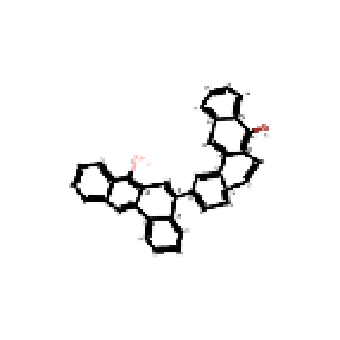 Bc1c2ccccc2cc2c1cc(-c1ccc3ccc4c(Br)c5ccccc5cc4c3c1)c1ccccc12